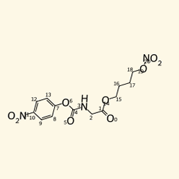 O=C(CNC(=O)Oc1ccc([N+](=O)[O-])cc1)OCCCCO[N+](=O)[O-]